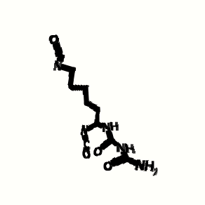 NC(=O)NC(=O)NC(CCCCCN=C=O)N=C=O